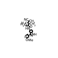 C=N/C(C(=O)Nc1ccc2[nH]nc(-c3ccnc(OC)c3)c2c1)=C(C)\C(C)=C(/C)C#N